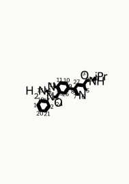 CC(C)NC(=O)c1cncc(-c2ccc3nc(N)n(-c4ccccc4)c(=O)c3c2)c1